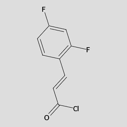 O=C(Cl)C=Cc1ccc(F)cc1F